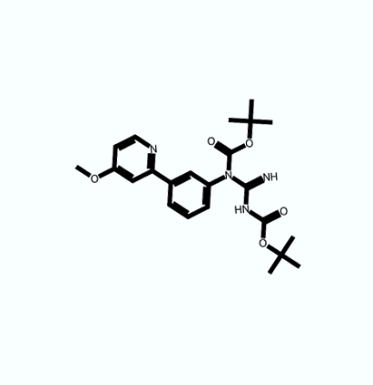 COc1ccnc(-c2cccc(N(C(=N)NC(=O)OC(C)(C)C)C(=O)OC(C)(C)C)c2)c1